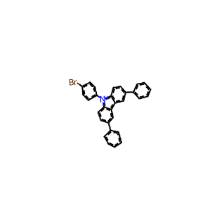 Brc1ccc(-n2c3ccc(-c4ccccc4)cc3c3cc(-c4ccccc4)ccc32)cc1